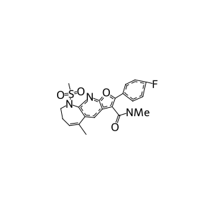 CNC(=O)c1c(-c2ccc(F)cc2)oc2nc3c(cc12)C(C)=CCCN3S(C)(=O)=O